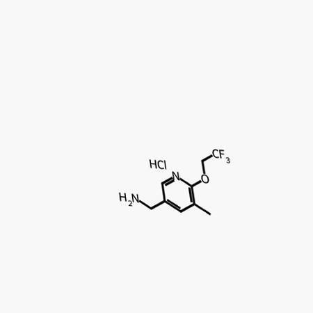 Cc1cc(CN)cnc1OCC(F)(F)F.Cl